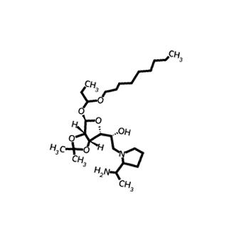 CCCCCCCCCOC(CC)O[C@H]1O[C@H]([C@H](O)CN2CCCC2C(C)N)[C@@H]2OC(C)(C)O[C@H]12